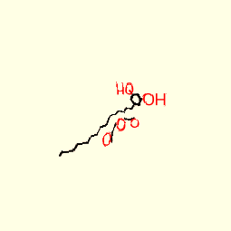 C(OCC1CO1)C1CO1.CCCCCCCCCCCCCCCc1cc(O)cc(O)c1